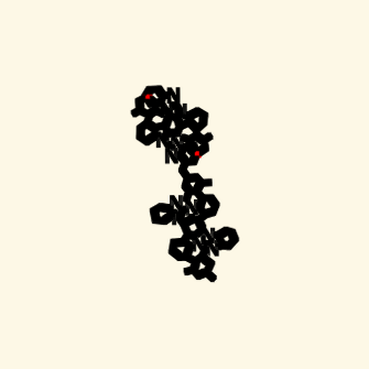 Cc1cc(C)c(-c2cccc3c4c5c6c(c7cccc(-c8c(C)cc(Cc9cccc%10c9nc9n%10c%10c%11c%12c(-c%13c(C)cccc%13C)cccc%12n%12c%11c(c%11c%13c(-c%14c(C)cccc%14C)cccc%13n9c%11%10)n9c%10ccccc%10nc9%12)cc8C)c7n6c6nc7ccccc7n56)c5c4n(c23)c2nc3ccccc3n52)c(C)c1